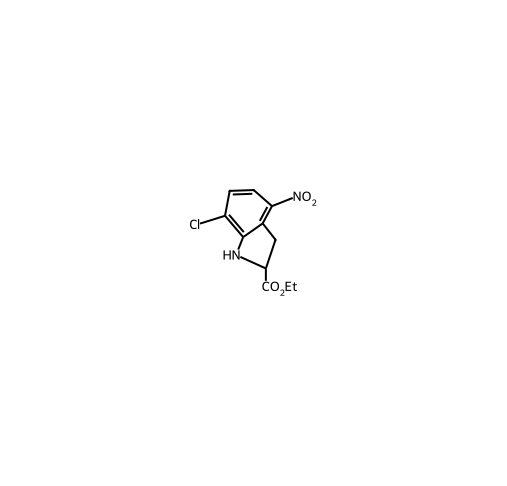 CCOC(=O)C1Cc2c([N+](=O)[O-])ccc(Cl)c2N1